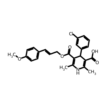 COc1ccc(C=CCOC(=O)C2=C(C)NC(C)=C(C(=O)O)C2c2cccc(Cl)c2)cc1